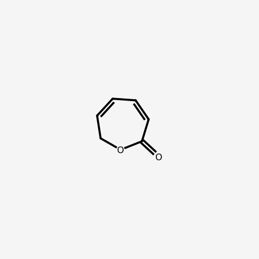 O=C1C=CC=CCO1